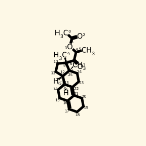 CC(=O)OC(C)C(=O)[C@@]1(C)CC[C@H]2[C@@H]3CCC4=CCCCC4=C3CC[C@@]21C